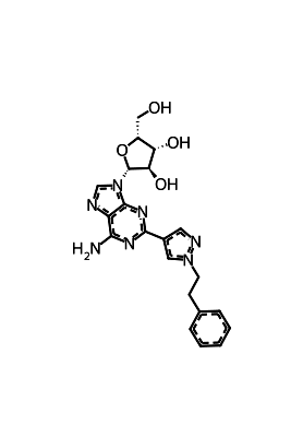 Nc1nc(-c2cnn(CCc3ccccc3)c2)nc2c1ncn2[C@@H]1O[C@H](CO)[C@H](O)[C@H]1O